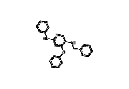 c1ccc(CNc2cnc(Nc3ccccc3)nc2Oc2ccccc2)cc1